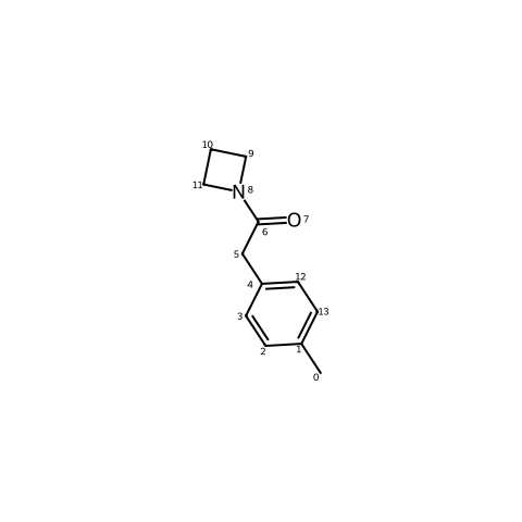 Cc1ccc(CC(=O)N2CCC2)cc1